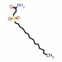 CCCCCCCCCCCCCCS(=O)(=O)CCC(N)=O